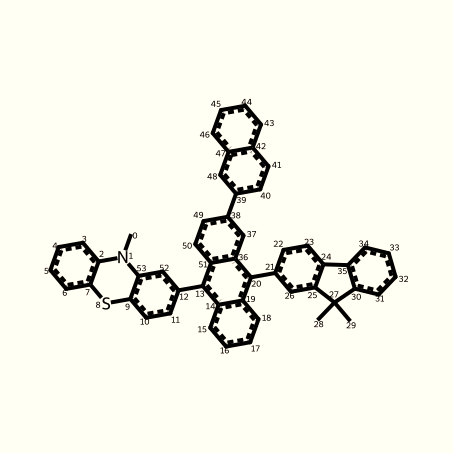 CN1c2ccccc2Sc2ccc(-c3c4ccccc4c(-c4ccc5c(c4)C(C)(C)c4ccccc4-5)c4cc(-c5ccc6ccccc6c5)ccc34)cc21